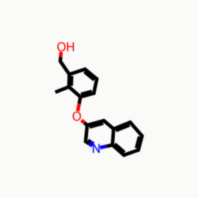 Cc1c(CO)cccc1Oc1cnc2ccccc2c1